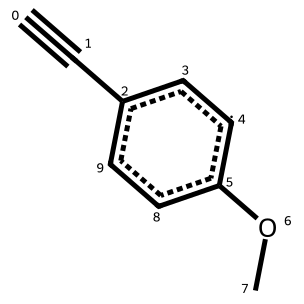 C#Cc1c[c]c(OC)cc1